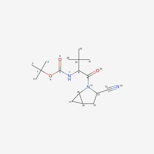 CC(C)(C)OC(=O)NC(C(=O)N1C(C#N)CC2CC21)C(C)(C)C